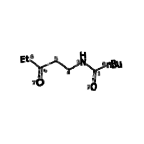 CCCCC(=O)NCCC(=O)CC